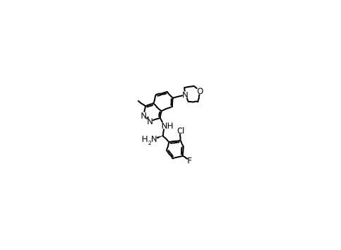 Cc1nnc(N[C@H](N)c2ccc(F)cc2Cl)c2cc(N3CCOCC3)ccc12